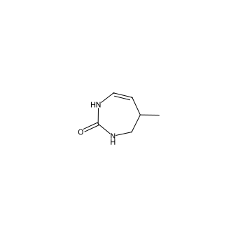 CC1C=CNC(=O)NC1